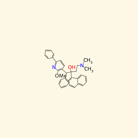 COc1nc(-c2ccccc2)ccc1C(c1ccccc1)C(O)(CCN(C)C)c1cccc2ccccc12